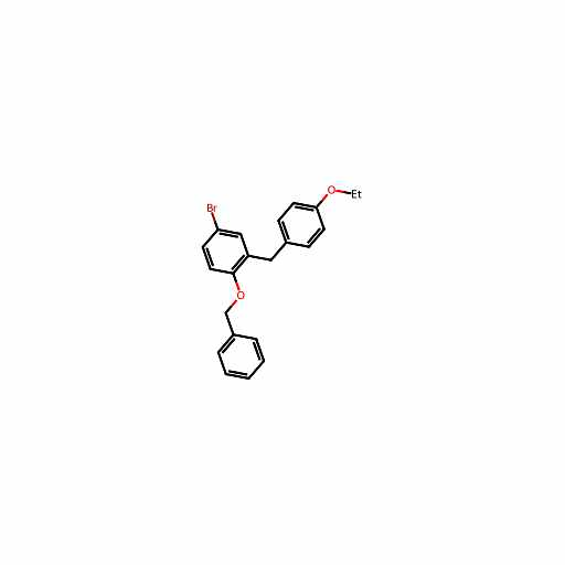 CCOc1ccc(Cc2cc(Br)ccc2OCc2ccccc2)cc1